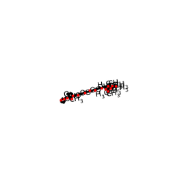 Cc1c(OCc2ccccc2)c(=O)ccn1CCOCCOCCOCCOCCOCCCc1cc(C(C)(C)C)c(OC(=O)OC(C)(C)C)c(C(C)(C)C)c1